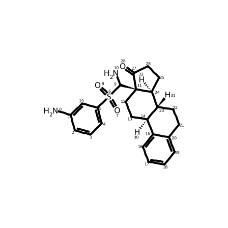 Nc1cccc(S(=O)(=O)C(N)[C@]23CC[C@@H]4c5ccccc5CC[C@H]4[C@@H]2CCC3=O)c1